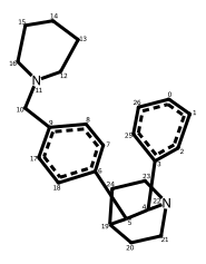 c1ccc(C2[C](c3ccc(CN4CCCCC4)cc3)C3CCN2CC3)cc1